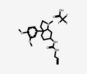 C=CCNC(=O)NC1CCC2(c3ccc(OC)c(OC)c3)CCN(C)C2C1.O=C(O)C(F)(F)F